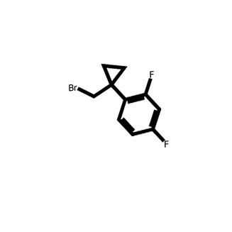 Fc1ccc(C2(CBr)CC2)c(F)c1